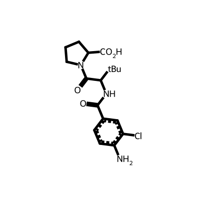 CC(C)(C)C(NC(=O)c1ccc(N)c(Cl)c1)C(=O)N1CCCC1C(=O)O